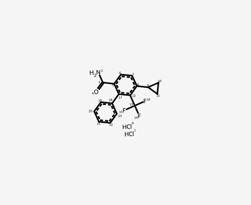 Cl.Cl.NC(=O)c1ccc(C2CC2)c(C(F)(F)F)c1-c1ccccc1